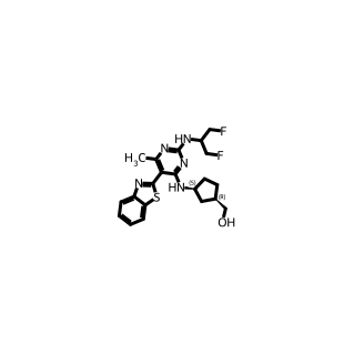 Cc1nc(NC(CF)CF)nc(N[C@H]2CC[C@@H](CO)C2)c1-c1nc2ccccc2s1